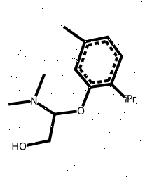 Cc1ccc(C(C)C)c(OC(CO)N(C)C)c1